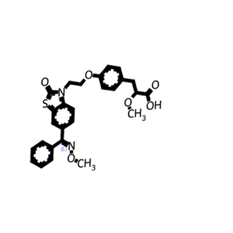 CO/N=C(\c1ccccc1)c1ccc2c(c1)sc(=O)n2CCOc1ccc(CC(OC)C(=O)O)cc1